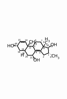 C[C@@H]1CC2=C3C(CC[C@]2(C)[C@H]1O)[C@@]1(C)C=C[C@H](O)C[C@@H]1C[C@@H]3O